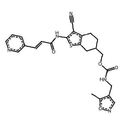 Cc1oncc1CNC(=O)OCC1CCc2c(sc(NC(=O)/C=C/c3cccnc3)c2C#N)C1